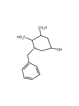 O=C(O)C1CC(O)CN(Cc2ccccc2)C1C(=O)O